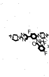 C[C@@H]1CN(c2cc(F)c(-c3cnc(N4CCCN(C)CC4)nc3)cc2NC(=O)c2ccc(F)cc2C(F)(F)F)CCN1C